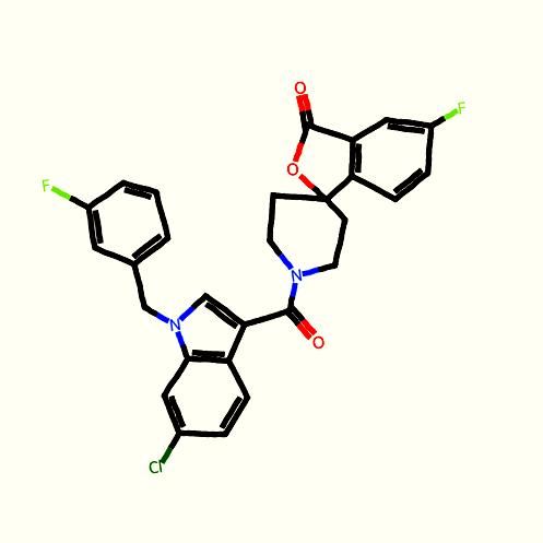 O=C1OC2(CCN(C(=O)c3cn(Cc4cccc(F)c4)c4cc(Cl)ccc34)CC2)c2ccc(F)cc21